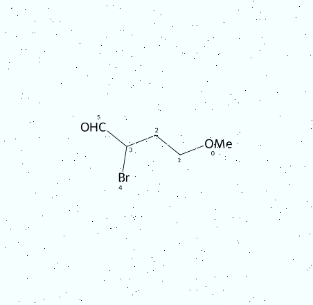 COCCC(Br)C=O